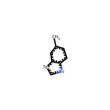 Cc1ccc2nc[te]c2c1